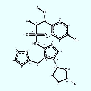 CO[C@H](c1ncc(Cl)cn1)[C@H](C)S(=O)(=O)Nc1nnc([C@H]2CC[C@@H](C)O2)n1Cc1ccon1